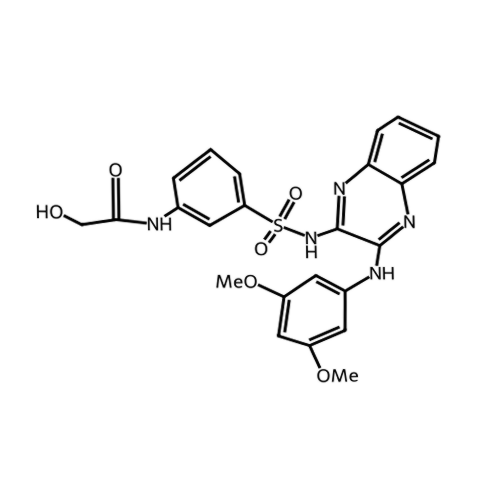 COc1cc(Nc2nc3ccccc3nc2NS(=O)(=O)c2cccc(NC(=O)CO)c2)cc(OC)c1